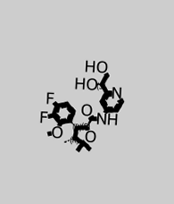 COc1c([C@@H]2[C@@H](C(=O)Nc3ccnc([C@H](O)CO)c3)OC(C)(C)[C@@H]2C)ccc(F)c1F